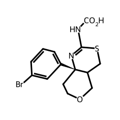 O=C(O)NC1=N[C@@]2(c3cccc(Br)c3)CCOCC2CS1